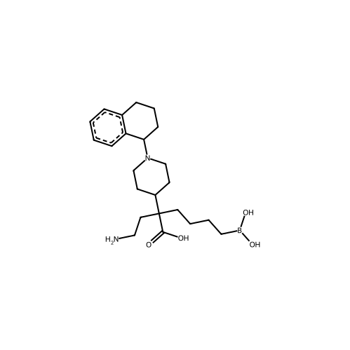 NCCC(CCCCB(O)O)(C(=O)O)C1CCN(C2CCCc3ccccc32)CC1